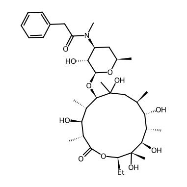 CC[C@H]1OC(=O)[C@H](C)[C@@H](O)[C@H](C)[C@@H](O[C@@H]2O[C@H](C)C[C@H](N(C)C(=O)Cc3ccccc3)[C@H]2O)C(C)(O)C[C@@H](C)[C@H](O)[C@H](C)[C@@H](O)[C@]1(C)O